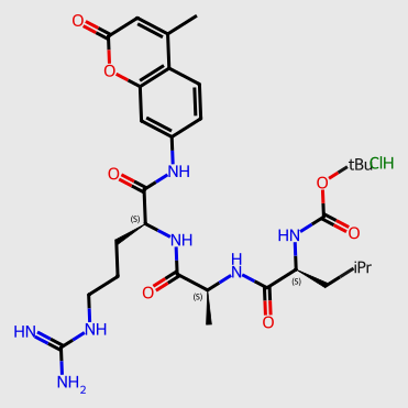 Cc1cc(=O)oc2cc(NC(=O)[C@H](CCCNC(=N)N)NC(=O)[C@H](C)NC(=O)[C@H](CC(C)C)NC(=O)OC(C)(C)C)ccc12.Cl